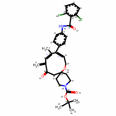 C=C1/C=C(C)\C(c2ccc(NC(=O)c3c(F)cccc3F)cc2)=C/COC2(CCN(C(=O)OC(C)(C)C)CC2)CC1=O